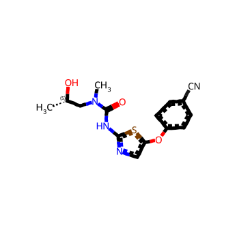 C[C@H](O)CN(C)C(=O)Nc1ncc(Oc2ccc(C#N)cc2)s1